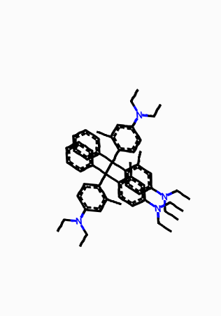 CCN(CC)c1ccc(C(c2ccccc2)(c2ccc(N(CC)CC)cc2C)C(c2ccccc2)(c2ccc(N(CC)CC)cc2C)c2ccc(N(CC)CC)cc2C)c(C)c1